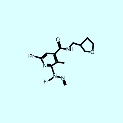 C=NN(c1nc(C(C)C)cc(C(=O)NCC2CCOC2)c1C)C(C)C